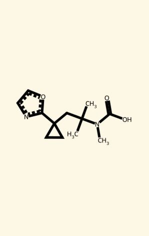 CN(C(=O)O)C(C)(C)CC1(c2ncco2)CC1